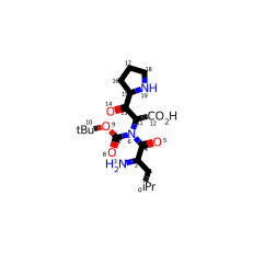 CC(C)CC(N)C(=O)N(C(=O)OC(C)(C)C)C(C(=O)O)C(=O)C1CCCN1